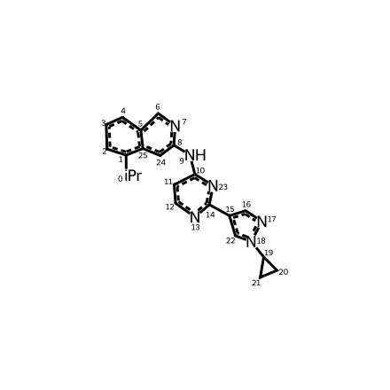 CC(C)c1cccc2cnc(Nc3ccnc(-c4cnn(C5CC5)c4)n3)cc12